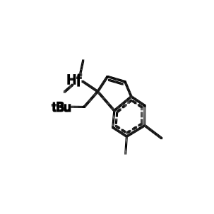 Cc1cc2c(cc1C)[C](CC(C)(C)C)([Hf]([CH3])[CH3])C=C2